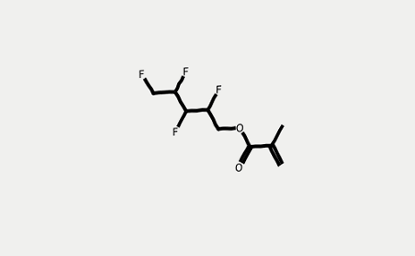 C=C(C)C(=O)OCC(F)C(F)C(F)CF